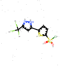 O=S(=O)(Cl)c1ccc(-c2cc(C(F)(F)F)n[nH]2)s1